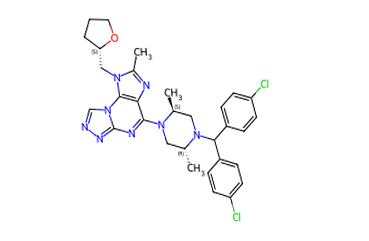 Cc1nc2c(N3C[C@@H](C)N(C(c4ccc(Cl)cc4)c4ccc(Cl)cc4)C[C@@H]3C)nc3nncn3c2n1C[C@@H]1CCCO1